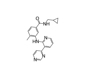 Cc1ccc(C(=O)NCC2CC2)cc1Nc1ncccc1-c1ccncn1